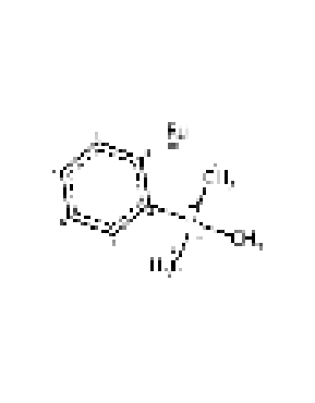 C[PH](C)(C)c1ccccc1.[Ru]